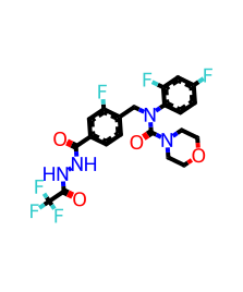 O=C(NNC(=O)C(F)(F)F)c1ccc(CN(C(=O)N2CCOCC2)c2ccc(F)cc2F)c(F)c1